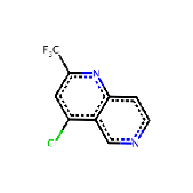 FC(F)(F)c1cc(Cl)c2cnccc2n1